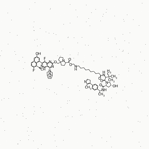 C#Cc1c(F)ccc2cc(O)cc(-c3ncc4c(N5CC6CCC(C5)N6)nc(OCC56CCCN5C(C(=O)OCNCCCCCCCCCC(=O)N[C@H](C(=O)N5C[C@H](O)C[C@H]5C(=O)N[C@@H](C)c5ccc(C7=C(C)N=CC7)cc5)C(C)(C)C)CC6)nc4c3F)c12